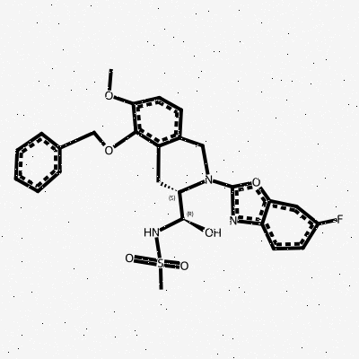 COc1ccc2c(c1OCc1ccccc1)C[C@@H]([C@@H](O)NS(C)(=O)=O)N(c1nc3ccc(F)cc3o1)C2